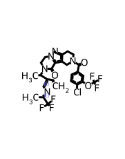 C=C/C(=C\N=C(/C)C(F)(F)F)C(C)N1CCn2nc3c(c2C1=O)CN(C(=O)c1ccc(Cl)c(OC(F)(F)F)c1)CC3